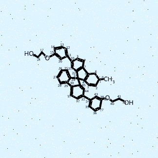 CC1C=CC2=C(C1)c1ccc(-c3cccc(OCCO)c3)cc1C21c2ccccc2-c2ccc(-c3cccc(OCCO)c3)cc21